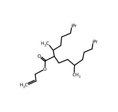 C=CCOC(=O)C(CCC(C)CCCC(C)C)C(C)CCCC(C)C